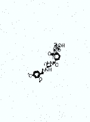 COc1ccc(/C=N/NC(=O)CNC(=O)[C@@H]2CCC3CN2C(=O)N3OS(=O)(=O)O)c(OC)c1